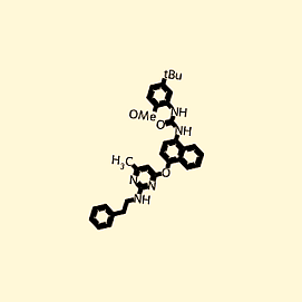 COc1ccc(C(C)(C)C)cc1NC(=O)Nc1ccc(Oc2cc(C)nc(NCCc3ccccc3)n2)c2ccccc12